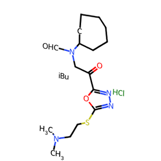 CC[C@H](C)C(C(=O)c1nnc(SCCN(C)C)o1)N(C=O)C1CCCCCC1.Cl